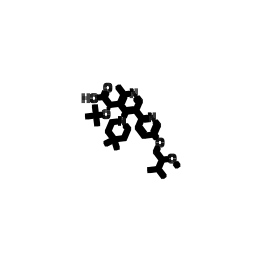 COC(COc1ccc(-c2cnc(C)c([C@H](OC(C)(C)C)C(=O)O)c2N2CCC(C)(C)CC2)nc1)C(C)C